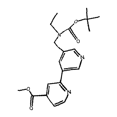 CCN(Cc1cncc(-c2cc(C(=O)OC)ccn2)c1)C(=O)OC(C)(C)C